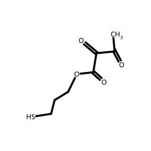 CC(=O)C(=O)C(=O)OCCCS